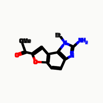 CCn1c(N)nc2ccc3oc(C(=O)OC)cc3c21